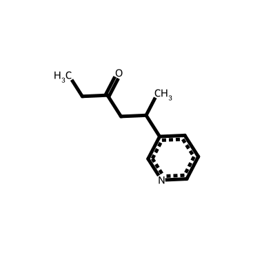 CCC(=O)CC(C)c1cccnc1